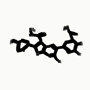 CNC(=O)c1c(-c2ccc(F)cc2)oc2nc(Cl)c(-c3cc(Cl)c(Cl)c(C(=O)O)c3)cc12